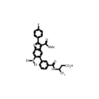 CCN(CC)c1cc2oc(-c3ccc(F)cc3)c(C(=O)NC)c2cc1-c1cccc(C(=O)NC(CC(=O)O)C(F)(F)F)c1